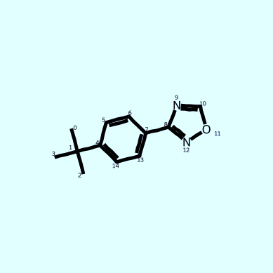 CC(C)(C)c1ccc(-c2ncon2)cc1